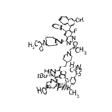 C=CC(=O)N1CCN(c2nc(O[C@H](C)CN3CCC(CCC(=O)N[C@H](C(=O)N4C[C@H](O)C[C@H]4C(=O)N[C@@H](C)c4ccc(-c5scnc5C)cc4)C(C)(C)C)CC3)nc3c(F)c(-c4cc(O)cc5ccccc45)c(Cl)cc23)CC1